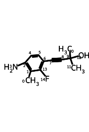 Cc1c(N)ccc(C#CC(C)(C)O)c1F